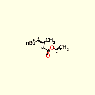 C=COC(=O)CC(C)=CCCCC